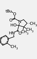 Cc1ccccc1CNC(=O)C1(O)N(C(=O)OC(C)(C)C)C[C@H](C)C1(C)C